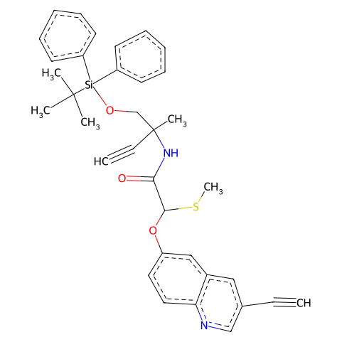 C#Cc1cnc2ccc(OC(SC)C(=O)NC(C)(C#C)CO[Si](c3ccccc3)(c3ccccc3)C(C)(C)C)cc2c1